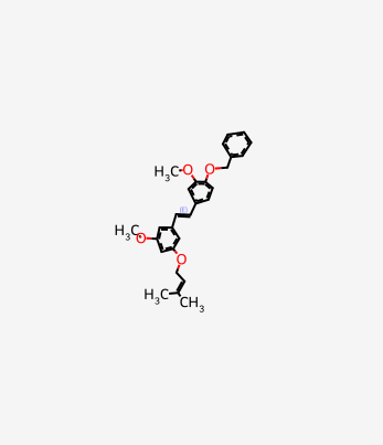 COc1cc(/C=C/c2ccc(OCc3ccccc3)c(OC)c2)cc(OCC=C(C)C)c1